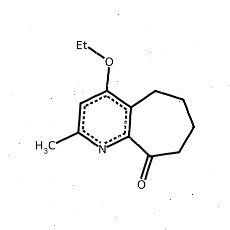 CCOc1cc(C)nc2c1CCCCC2=O